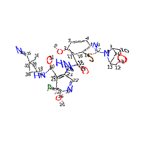 COc1ccc2nc(N3C4COCC3C4)sc2c1C(=O)Nc1cnc(OC)c(F)c1C(=O)NC12CC(C#N)(C1)C2